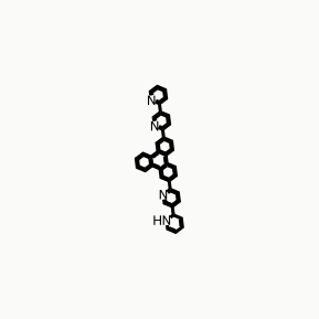 C1=CNC(c2ccc(-c3ccc4c5ccc(-c6ccc(-c7ccccn7)cn6)cc5c5ccccc5c4c3)nc2)C=C1